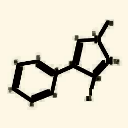 Cn1cc(-c2ccccc2)c(I)n1